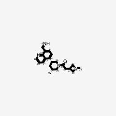 C[C@@H]1C[C@H](c2ccc(C=N)c3ncccc23)CN(C(=O)CC2CN(C)C2)C1